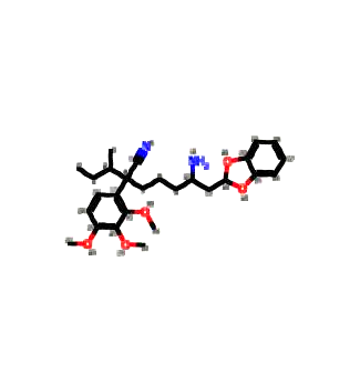 CCC(C)C(C#N)(CCCC(N)CC1Oc2ccccc2O1)c1ccc(OC)c(OC)c1OC